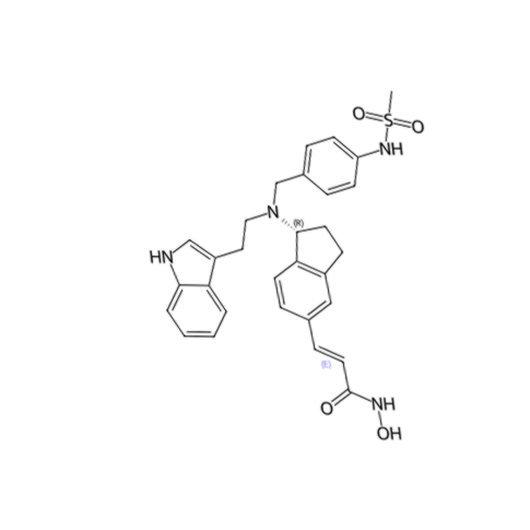 CS(=O)(=O)Nc1ccc(CN(CCc2c[nH]c3ccccc23)[C@@H]2CCc3cc(/C=C/C(=O)NO)ccc32)cc1